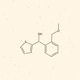 COCc1ccccc1C(O)c1cccs1